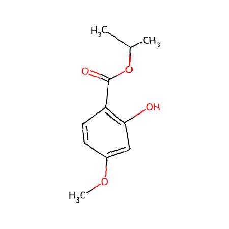 COc1ccc(C(=O)OC(C)C)c(O)c1